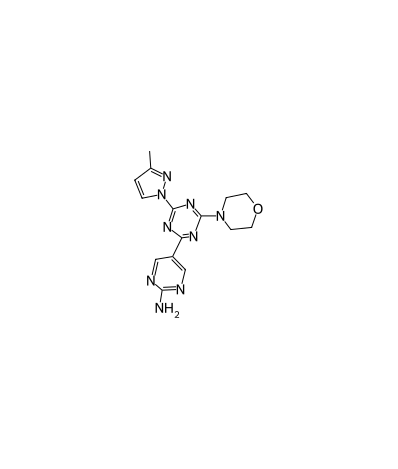 Cc1ccn(-c2nc(-c3cnc(N)nc3)nc(N3CCOCC3)n2)n1